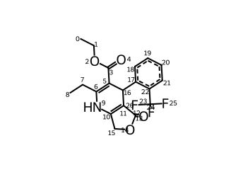 CCOC(=O)C1=C(CC)NC2=C(C(=O)OC2)C1c1ccccc1C(F)(F)F